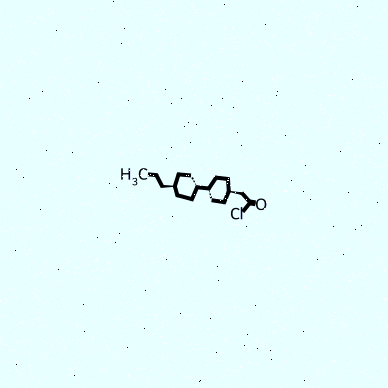 CCC[C@H]1CC[C@H]([C@H]2CC[C@H](CC(=O)Cl)CC2)CC1